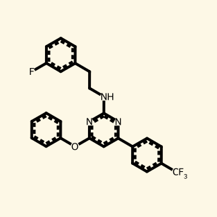 Fc1cccc(CCNc2nc(Oc3ccccc3)cc(-c3ccc(C(F)(F)F)cc3)n2)c1